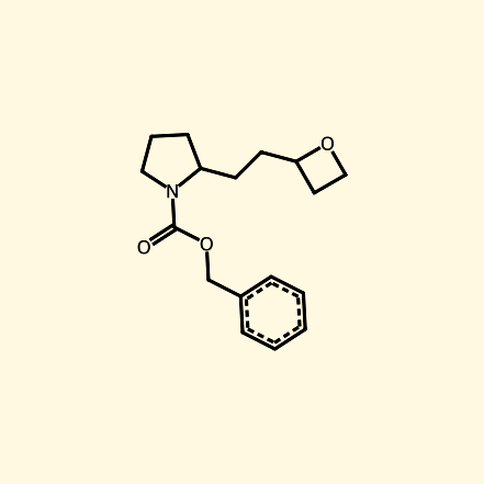 O=C(OCc1ccccc1)N1CCCC1CCC1CCO1